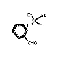 CC[Si]([O])(CC)CC.O=Cc1ccccc1